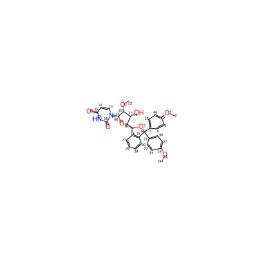 COc1ccc(C(OC[C@H]2O[C@@H](n3ccc(=O)[nH]c3=O)C(OC)C2O)(c2ccccc2)c2ccc(OC)cc2)cc1